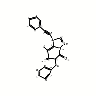 CC1=C2N(C#Cc3ccccc3)C=NN2C(=O)C(Cc2ccccc2)C1=O